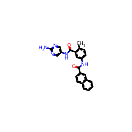 Cc1ccc(NC(=O)c2ccc3ccccc3c2)cc1C(=O)Nc1cnc(N)nc1